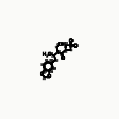 CCN(C(=O)C1CS(=O)(=O)C1)C(C)Cc1ccc2c(c1)OCO2